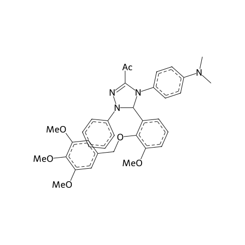 COc1cc(COc2c(OC)cccc2C2N(c3ccccc3)N=C(C(C)=O)N2c2ccc(N(C)C)cc2)cc(OC)c1OC